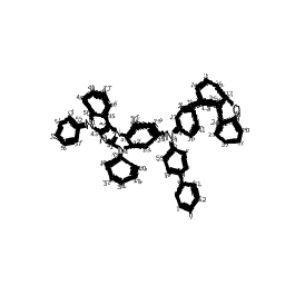 c1ccc(-c2ccc(N(c3ccc(-c4cccc5oc6ccccc6c45)cc3)c3ccc4c(c3)n(-c3ccccc3)c3nc5c(c6ccccc6n5-c5ccccc5)n43)cc2)cc1